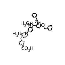 C[C@H]1CN(c2ccc3c(-c4ccc(OCc5ccccc5)nc4OCc4ccccc4)nn(C)c3c2)CCN1CC1CCN(C(=O)O)CC1